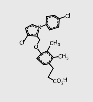 Cc1c(CCC(=O)O)ccc(OCc2c(Cl)ccn2-c2ccc(Cl)cc2)c1C